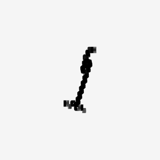 CC(C)CCCCCCCCCCCN1CCc2cc(OCCS)ccc2C1